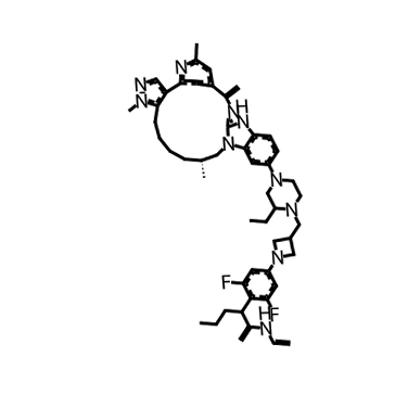 C=CNC(=C)C(CCC)c1c(F)cc(N2CC(CN3CCN(c4ccc5c(c4)N4C[C@H](C)CCCCc6c(cnn6C)-c6cc(cc(C)n6)C(=C)/N=C/4N5)CC3CC)C2)cc1F